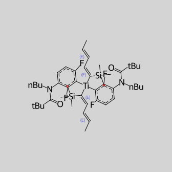 C/C=C/C=[C](\[Si](C)(C)C)[Ti](/[C](=C/C=C/C)[Si](C)(C)C)([c]1c(F)ccc(N(CCCC)C(=O)C(C)(C)C)c1F)[c]1c(F)ccc(N(CCCC)C(=O)C(C)(C)C)c1F